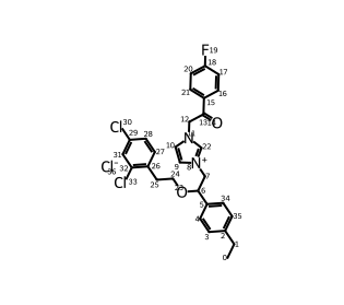 CCc1ccc(C(C[n+]2ccn(CC(=O)c3ccc(F)cc3)c2)OCCc2ccc(Cl)cc2Cl)cc1.[Cl-]